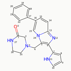 O=C1CN(Cc2c(-c3ccc[nH]3)nc3ccc(-c4ccccc4)cn23)CCN1